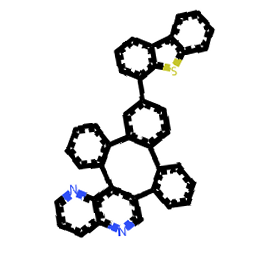 c1ccc2c(c1)-c1ccc(-c3cccc4c3sc3ccccc34)cc1-c1ccccc1-c1c-2cnc2cccnc12